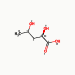 CC(O)C[C@@H](O)C(=O)O